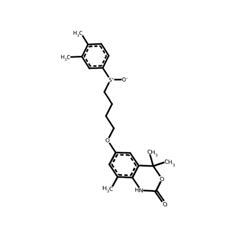 Cc1ccc([S+]([O-])CCCCOc2cc(C)c3c(c2)C(C)(C)OC(=O)N3)cc1C